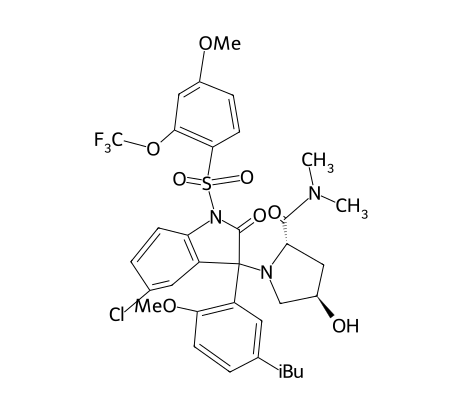 CCC(C)c1ccc(OC)c(C2(N3C[C@H](O)C[C@H]3C(=O)N(C)C)C(=O)N(S(=O)(=O)c3ccc(OC)cc3OC(F)(F)F)c3ccc(Cl)cc32)c1